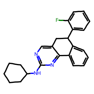 Fc1ccccc1C1Cc2cnc(NC3CCCCC3)nc2-c2ccccc21